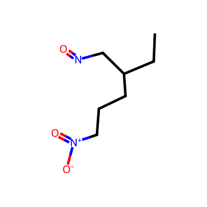 CCC(CCC[N+](=O)[O-])CN=O